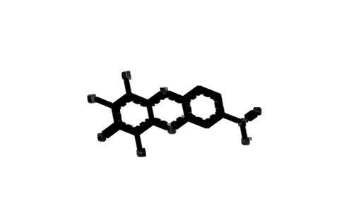 O=c1c(Cl)c2oc3cc([N+](=O)[O-])ccc3nc-2c(Cl)c1Cl